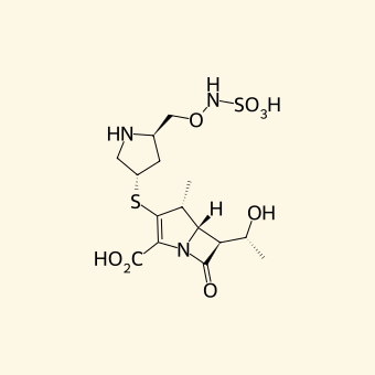 C[C@@H](O)[C@H]1C(=O)N2C(C(=O)O)=C(S[C@@H]3CN[C@@H](CONS(=O)(=O)O)C3)[C@H](C)[C@H]12